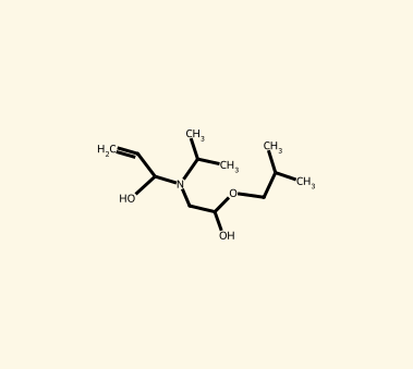 C=CC(O)N(CC(O)OCC(C)C)C(C)C